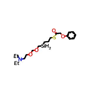 CCN(CC)CCOCOC[SiH2]CCCSC(=O)COc1ccccc1